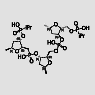 CC(C)P(=O)(O)OC[C@H]1O[C@@H](C)C[C@@H]1OP(=O)(O)OC[C@H]1O[C@@H](C)C[C@@H]1OP(=O)(O)C[C@H]1O[C@@H](C)C[C@@H]1OP(=O)(O)C(C)C